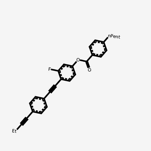 CCC#Cc1ccc(C#Cc2ccc(OC(=O)c3ccc(CCCCC)cc3)cc2F)cc1